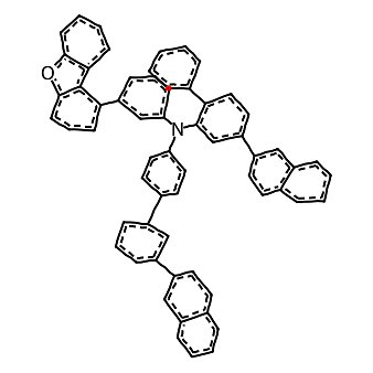 c1ccc(-c2ccc(-c3ccc4ccccc4c3)cc2N(c2ccc(-c3cccc(-c4ccc5ccccc5c4)c3)cc2)c2cccc(-c3cccc4oc5ccccc5c34)c2)cc1